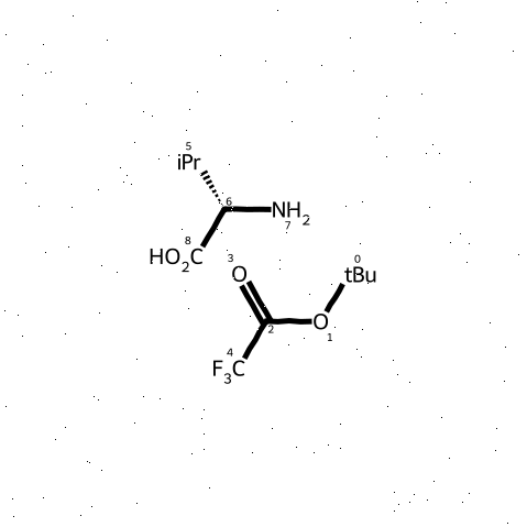 CC(C)(C)OC(=O)C(F)(F)F.CC(C)[C@H](N)C(=O)O